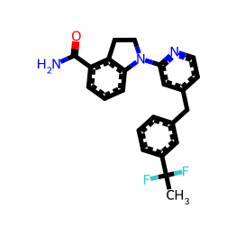 CC(F)(F)c1cccc(Cc2ccnc(N3CCc4c(C(N)=O)cccc43)c2)c1